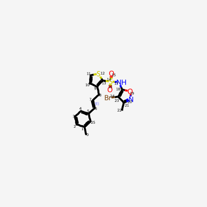 Cc1cccc(/C=C/Cc2ccsc2S(=O)(=O)Nc2onc(C)c2Br)c1